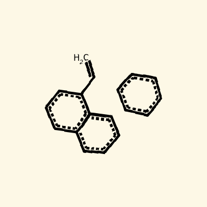 C=Cc1cccc2ccccc12.c1ccccc1